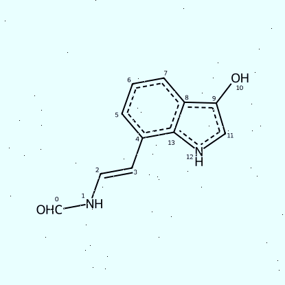 O=CNC=Cc1cccc2c(O)c[nH]c12